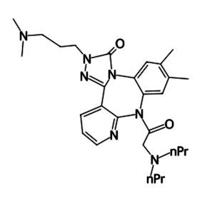 CCCN(CCC)CC(=O)N1c2cc(C)c(C)cc2-n2c(nn(CCCN(C)C)c2=O)-c2cccnc21